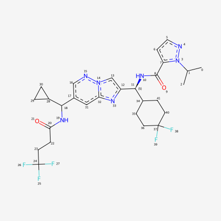 CC(C)n1nccc1C(=O)N[C@H](c1cn2ncc(C(NC(=O)CCC(F)(F)F)C3CC3)cc2n1)C1CCC(F)(F)CC1